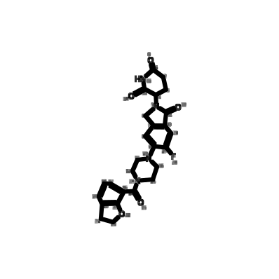 O=C1CCC(N2Cc3cc(N4CCN(C(=O)c5cccc6c5OCC6)CC4)c(F)cc3C2=O)C(=O)N1